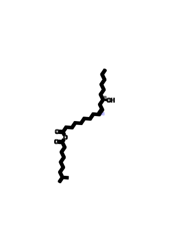 CCCCCC[C@@H](O)C/C=C\CCCCCCCC(=O)OC(=O)CCCCCCC(C)C